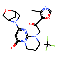 Cc1ncoc1C(=O)CN1c2nc(N3CC4CC3CO4)cc(=O)n2CC[C@H]1C(F)(F)F